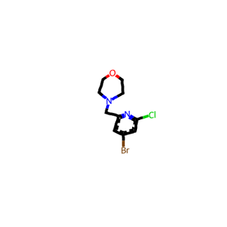 Clc1cc(Br)cc(CN2CCOCC2)n1